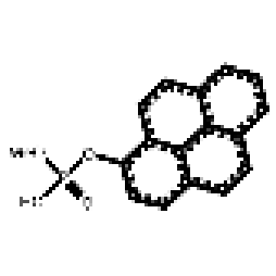 COP(=O)(O)Oc1ccc2ccc3cccc4ccc1c2c34